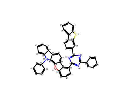 c1ccc(-c2nc(-c3ccc4c(c3)sc3ccccc34)nc(-c3cccc4oc5c(ccc6c7ccccc7n(-c7ccccc7)c65)c34)n2)cc1